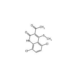 CSc1c(C(C)=O)c(=O)[nH]c2c(Cl)ccc(Cl)c12